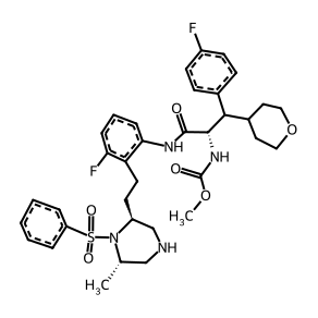 COC(=O)N[C@H](C(=O)Nc1cccc(F)c1CC[C@H]1CNC[C@H](C)N1S(=O)(=O)c1ccccc1)C(c1ccc(F)cc1)C1CCOCC1